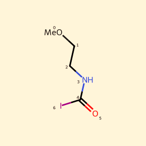 COCCNC(=O)I